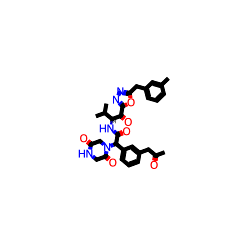 CC(=O)Cc1cccc(C(C(=O)N[C@H](C(=O)c2nnc(Cc3cccc(C)c3)o2)C(C)C)N2CC(=O)NCC2=O)c1